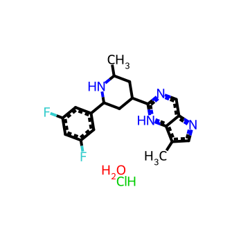 Cc1cnc2cnc(C3CC(C)NC(c4cc(F)cc(F)c4)C3)[nH]c1-2.Cl.O